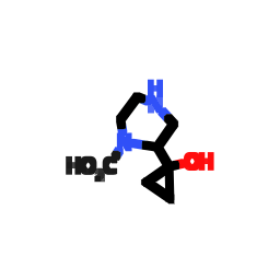 O=C(O)N1CCNCC1C1(O)CC1